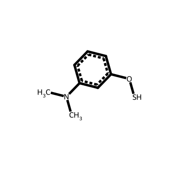 CN(C)c1cccc(OS)c1